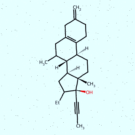 C=C1CCC2=C(C1)CC(C)[C@@H]1[C@@H]2CC[C@@]2(C)[C@H]1CC(CC)[C@@]2(O)C#CC